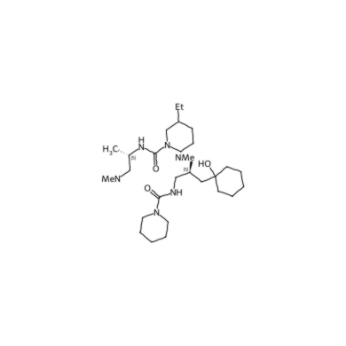 CCC1CCCN(C(=O)N[C@@H](C)CNC)C1.CN[C@H](CNC(=O)N1CCCCC1)CC1(O)CCCCC1